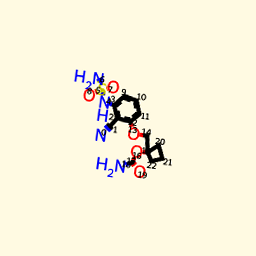 N#Cc1c(NS(N)(=O)=O)cccc1OCC1(OC(N)=O)CCC1